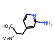 CN[C@@H](Cc1ccnc(N)c1)C(=O)O